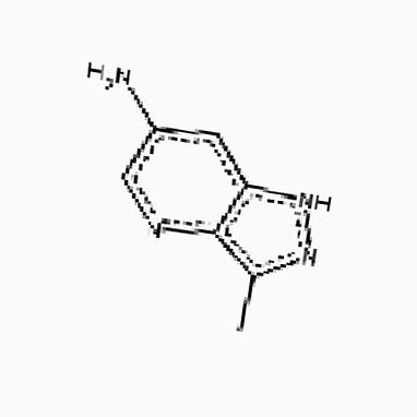 Cc1n[nH]c2cc(N)cnc12